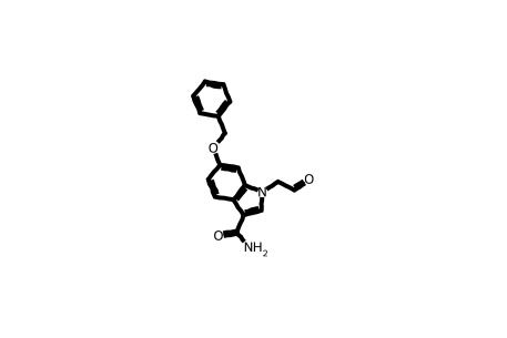 NC(=O)c1cn(CC=O)c2cc(OCc3ccccc3)ccc12